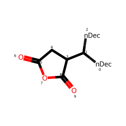 CCCCCCCCCCC(CCCCCCCCCC)C1CC(=O)OC1=O